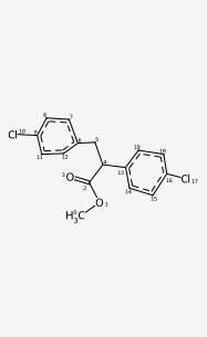 COC(=O)C(Cc1ccc(Cl)cc1)c1ccc(Cl)cc1